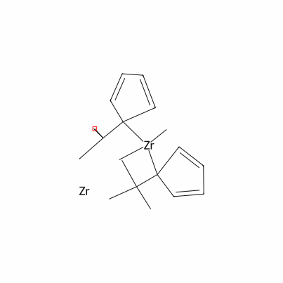 CC(C)(C)[C]1([Zr]([CH3])([CH3])[C]2(C(C)(C)C)C=CC=C2)C=CC=C1.[Zr]